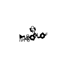 CCCN(CC1CC1)S(=O)(=O)c1ccc2c(c1)c(N1CCOCC1)nn2Cc1ccc(F)cc1